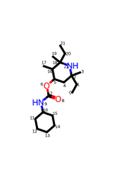 CCC1(C)CC(OC(=O)NC2CCCCC2)C(C)C(C)(CC)N1